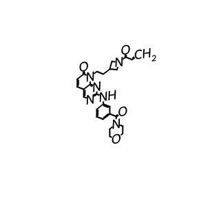 C=CC(=O)N1CC(CCn2c(=O)ccc3cnc(Nc4cccc(C(=O)N5CCOCC5)c4)nc32)C1